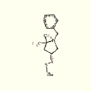 CC(C)(C)S/N=C1/CN(Cc2ccccc2)C(C)(C)C1